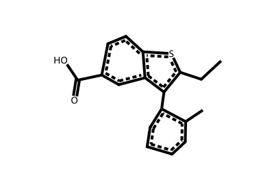 CCc1sc2ccc(C(=O)O)cc2c1-c1ccccc1C